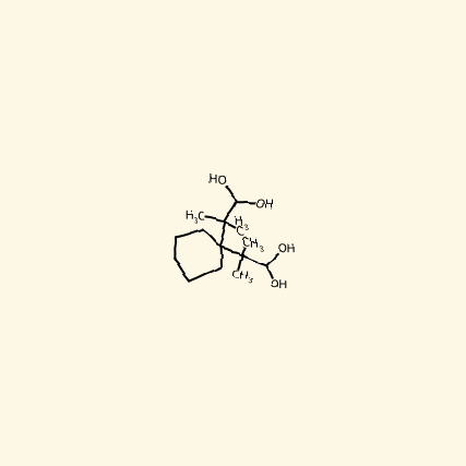 CC(C)(C(O)O)C1(C(C)(C)C(O)O)CCCCC1